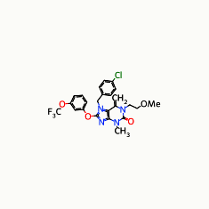 C=C1c2c(nc(Oc3cccc(OC(F)(F)F)c3)n2Cc2ccc(Cl)cc2)N(C)C(=O)N1CCOC